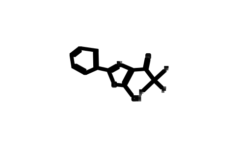 O=C(c1nc(-c2ccccc2)oc1O)C(F)(F)F